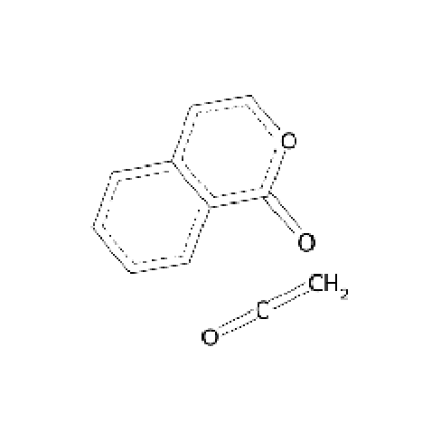 C=C=O.O=c1occc2ccccc12